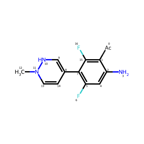 CC(=O)c1c(N)cc(F)c(C2=CNN(C)C=C2)c1F